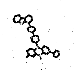 Cc1ccc2c(c1)N(C)c1cc(-c3ccccc3)ccc1N2c1ccc(-c2ccc(-c3cccc4c3oc3ccccc34)cc2)cc1